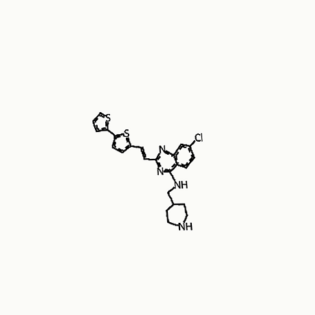 Clc1ccc2c(NCC3CCNCC3)nc(C=Cc3ccc(-c4cccs4)s3)nc2c1